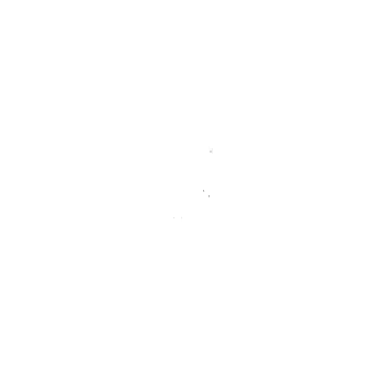 CS(=O)(=O)Nc1cccc(F)c1Br